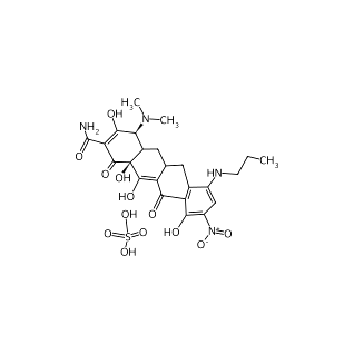 CCCNc1cc([N+](=O)[O-])c(O)c2c1CC1CC3[C@H](N(C)C)C(O)=C(C(N)=O)C(=O)[C@@]3(O)C(O)=C1C2=O.O=S(=O)(O)O